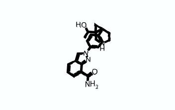 CC(O)C12CNCCC1(c1ccc(-n3cc4cccc(C(N)=O)c4n3)cc1)C2